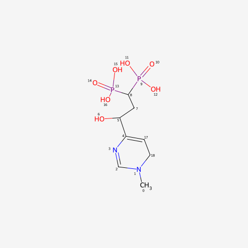 CN1C=NC(C(O)CC(P(=O)(O)O)P(=O)(O)O)=CC1